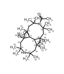 CC(=O)N1C(C)(C)CC(C)(C)C2C(C(C)(C)CC(C)(C)NC(C)(C)CC2(C)C)C(C)(C)CC1(C)C